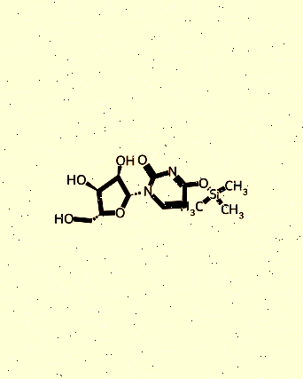 C[Si](C)(C)Oc1ccn([C@@H]2O[C@H](CO)[C@@H](O)[C@H]2O)c(=O)n1